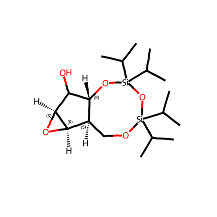 CC(C)[Si]1(C(C)C)OC[C@H]2[C@H]3O[C@H]3C(O)[C@@H]2O[Si](C(C)C)(C(C)C)O1